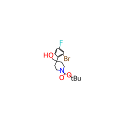 CC(C)(C)OC(=O)N1CCC(CO)(c2ccc(F)cc2Br)CC1